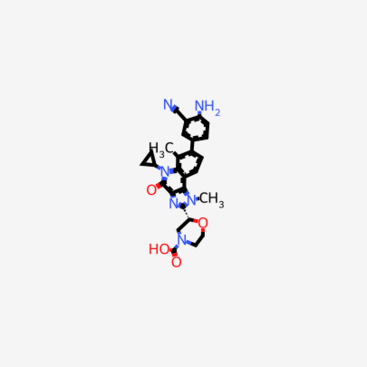 Cc1c(-c2ccc(N)c(C#N)c2)ccc2c3c(nc([C@H]4CN(C(=O)O)CCO4)n3C)c(=O)n(C3CC3)c12